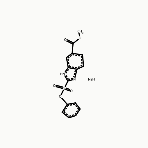 COC(=O)c1ccc2nc(S(=O)(=O)Oc3ccccc3)[nH]c2c1.[NaH]